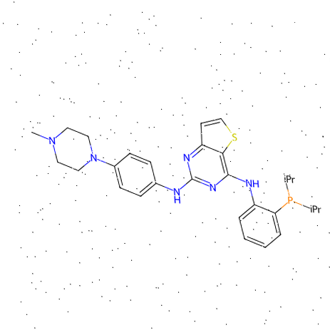 CC(C)P(c1ccccc1Nc1nc(Nc2ccc(N3CCN(C)CC3)cc2)nc2ccsc12)C(C)C